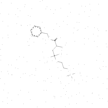 CC(C)C(CC(C)(C)SCCO[PH](O)(O)O)C(=O)OCc1ccccc1